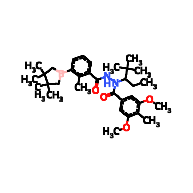 CCC(N(NC(=O)c1cccc(B2CC(C)(C)C(C)(C)C2)c1C)C(=O)c1cc(OC)c(C)c(OC)c1)C(C)(C)C